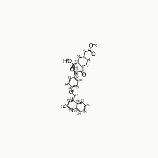 COC(=O)CC1CC[C@H](C(=O)Nc2ccc(OCc3cc(C)nc4ccccc34)cc2)[C@@H](C(=O)O)C1